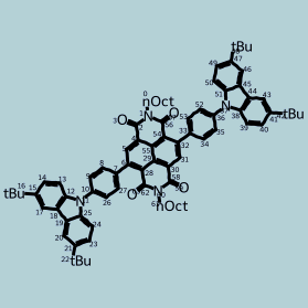 CCCCCCCCN1C(=O)c2cc(-c3ccc(-n4c5ccc(C(C)(C)C)cc5c5cc(C(C)(C)C)ccc54)cc3)c3c4c(cc(-c5ccc(-n6c7ccc(C(C)(C)C)cc7c7cc(C(C)(C)C)ccc76)cc5)c(c24)C1=O)C(=O)N(CCCCCCCC)C3=O